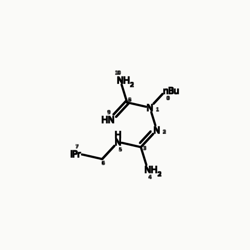 CCCCN(N=C(N)NCC(C)C)C(=N)N